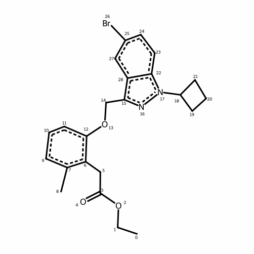 CCOC(=O)Cc1c(C)cccc1OCc1nn(C2CCC2)c2ccc(Br)cc12